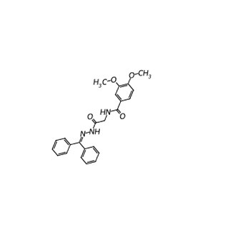 COc1ccc(C(=O)NCC(=O)NN=C(c2ccccc2)c2ccccc2)cc1OC